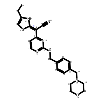 CCC1=CS/C(=C(/C#N)c2ccnc(OCc3ccc(CN4CCOCC4)cc3)n2)N1